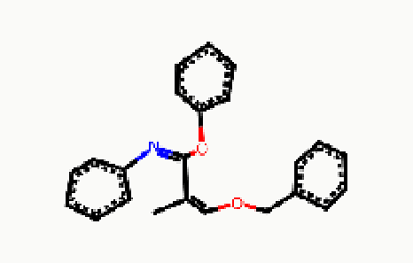 CC(=COCc1ccccc1)C(=Nc1ccccc1)Oc1ccccc1